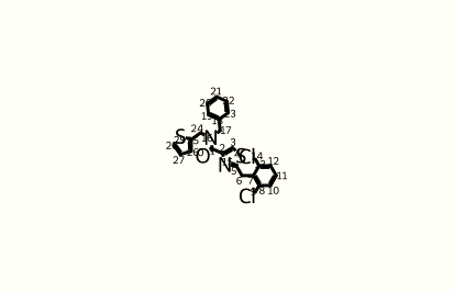 O=C(c1csc(Cc2c(Cl)cccc2Cl)n1)N(Cc1ccccc1)Cc1cccs1